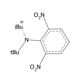 CC[C@@H](C)N(c1c([N+](=O)[O-])cccc1[N+](=O)[O-])C(C)(C)C